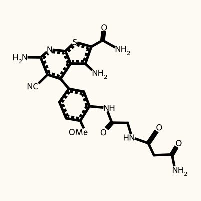 COc1ccc(-c2c(C#N)c(N)nc3sc(C(N)=O)c(N)c23)cc1NC(=O)CNC(=O)CC(N)=O